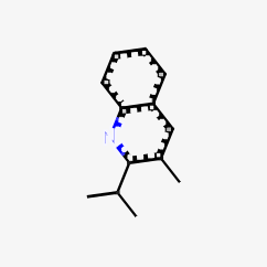 Cc1cc2ccccc2nc1C(C)C